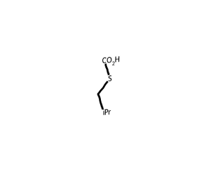 CC(C)CSC(=O)O